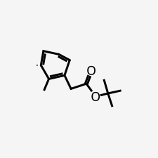 Cc1[c]cccc1CC(=O)OC(C)(C)C